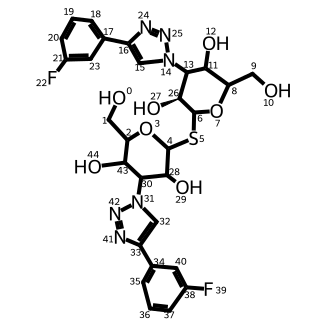 OCC1OC(SC2OC(CO)C(O)C(n3cc(-c4cccc(F)c4)nn3)[C@@H]2O)C(O)C(n2cc(-c3cccc(F)c3)nn2)C1O